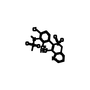 CN(c1c(Cl)ccc(C2=C(O)c3ncccc3CS2(=O)=O)c1C(F)(F)F)S(C)(=O)=O